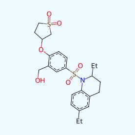 CCc1ccc2c(c1)CCC(CC)N2S(=O)(=O)c1ccc(OC2CCS(=O)(=O)C2)c(CO)c1